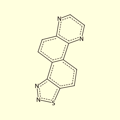 c1cnc2c(ccc3c2ccc2snnc23)n1